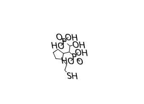 O=P(O)(O)C(O)C(C1CCCC1CCS)P(=O)(O)O